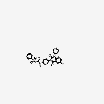 O=C(CS(=O)(=O)c1ccccc1)N[C@H]1CC[C@@H](n2c(=O)c3cc(F)cnc3n(C3CCSCC3)c2=O)CC1